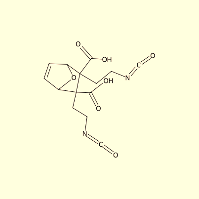 O=C=NCCC1(C(=O)O)C2C=CC(O2)C1(CCN=C=O)C(=O)O